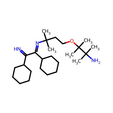 CC(C)(CCOC(C)(C)C(C)(C)N)/N=C(/C(=N)C1CCCCC1)C1CCCCC1